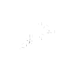 Cc1[nH]c2ccc(Cl)cc2c1C1=CCN(CCCNS(=O)(=O)c2ccc(C(C)(C)C)cc2)CC1